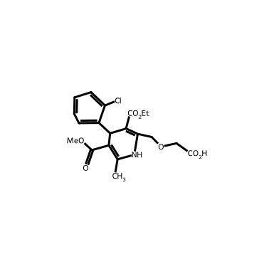 CCOC(=O)C1=C(COCC(=O)O)NC(C)=C(C(=O)OC)C1c1ccccc1Cl